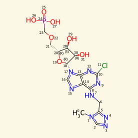 Cn1cnnc1CNc1nc(Cl)nc2c1ncn2[C@@H]1O[C@H](COCP(=O)(O)O)[C@@H](O)[C@H]1O